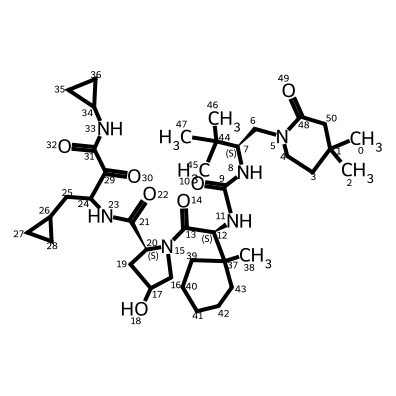 CC1(C)CCN(C[C@@H](NC(=O)N[C@H](C(=O)N2CC(O)C[C@H]2C(=O)NC(CC2CC2)C(=O)C(=O)NC2CC2)C2(C)CCCCC2)C(C)(C)C)C(=O)C1